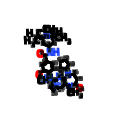 COc1cc(C(=O)NC2CC(C)(C)N(C)C(C)(C)C2)ccc1NC1=NC2=C(C[N+]13CC3)N(C)C(=O)CCN2C1CCCC1